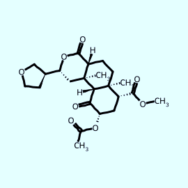 COC(=O)[C@@H]1C[C@H](OC(C)=O)C(=O)[C@H]2[C@@]1(C)CC[C@H]1C(=O)O[C@@H]([C@H]3CCOC3)C[C@]21C